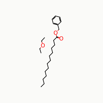 CCCCCCCCCCCCCC(=O)OCc1ccccc1.CCOCC